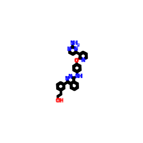 Nc1nccc(-c2cccnc2Oc2ccc(Nc3nnc(-c4cccc(CCO)c4)c4ccccc34)cc2)n1